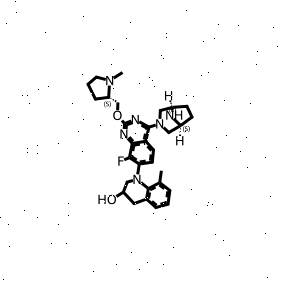 Cc1cccc2c1N(c1ccc3c(N4C[C@H]5CC[C@@H](C4)N5)nc(OC[C@@H]4CCCN4C)nc3c1F)CC(O)C2